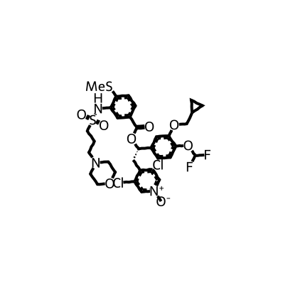 CSc1ccc(C(=O)O[C@@H](Cc2c(Cl)c[n+]([O-])cc2Cl)c2ccc(OC(F)F)c(OCC3CC3)c2)cc1NS(=O)(=O)CCCN1CCOCC1